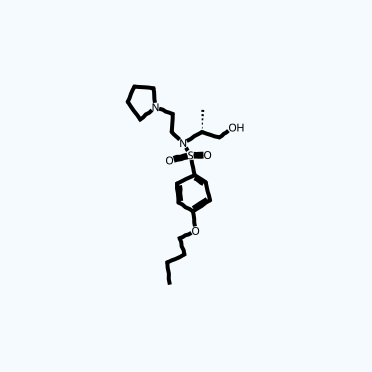 CCCCOc1ccc(S(=O)(=O)N(CCN2CCCC2)[C@H](C)CO)cc1